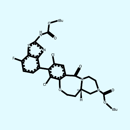 CC(C)(C)OC(=O)Nc1nc2c(-c3c(Cl)cc4c(c3Cl)OCC[C@H]3CN(C(=O)OC(C)(C)C)CCN3C4=O)ccc(F)c2s1